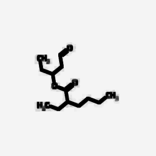 CCCCC(CC)C(=O)OC(CC)CC=O